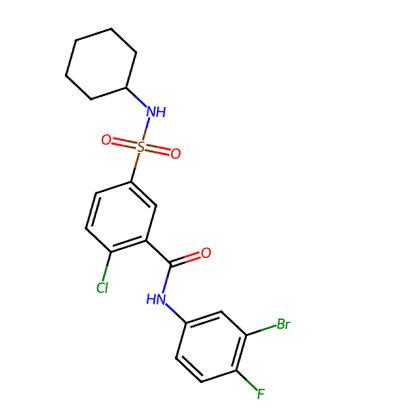 O=C(Nc1ccc(F)c(Br)c1)c1cc(S(=O)(=O)NC2CCCCC2)ccc1Cl